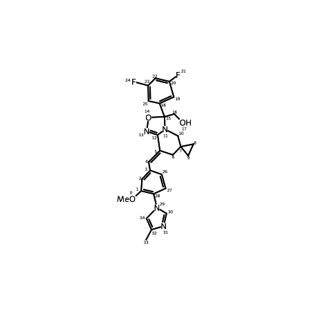 COc1cc(/C=C2\CC3(CC3)CN3C2=NOC3(CO)c2cc(F)cc(F)c2)ccc1-n1cnc(C)c1